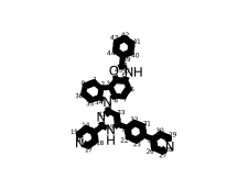 C1=CC2C3C4=C(C=CC3N(C3=NC(c5ccncc5)NC(c5ccc(-c6ccncc6)cc5)=C3)C2C=C1)NC(c1ccccc1)O4